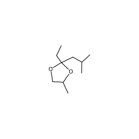 CCC1(CC(C)C)OCC(C)O1